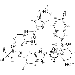 CN1CCc2nc(C(=O)NC3CCCCC3N)sc2C1.CN1CCc2nc(C(=O)N[C@@H]3CCCC[C@]3(N)S(=O)(=O)c3cc4cc(Cl)ccc4[nH]3)sc2C1.Cl.O=C(O)C(F)(F)F